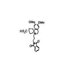 COc1cc2c(cc1OC)[C@]1(CC[C@@H](C(=O)O)CC1)N(CCCN1C(=O)c3ccccc3C1=O)CC2